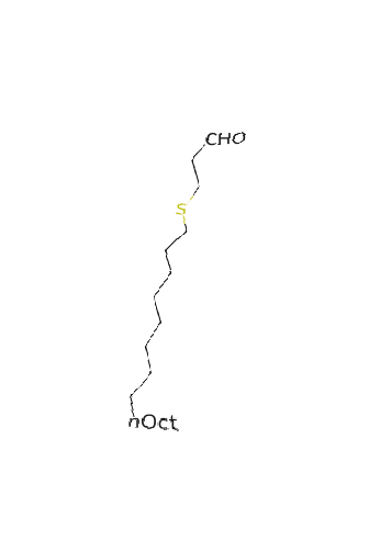 CCCCCCCCCCCCCCCCSCCC=O